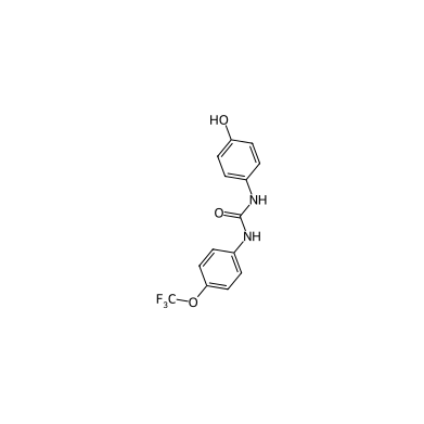 O=C(Nc1ccc(O)cc1)Nc1ccc(OC(F)(F)F)cc1